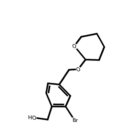 OCc1ccc(COC2CCCCO2)cc1Br